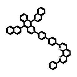 c1ccc(-c2ccc3ccc4ccc(-c5ccc(-c6ccc(-c7ccc8c(-c9ccc%10ccccc%10c9)c9ccccc9c(-c9ccc%10ccccc%10c9)c8c7)cc6)cc5)nc4c3n2)cc1